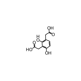 O=C(O)Cc1ccc(O)c(CC(=O)O)c1O